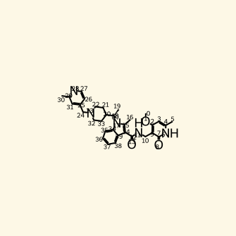 COc1cc(C)[nH]c(=O)c1CNC(=O)c1c(C)n([C@H](C)C2CCN(Cc3ccnc(C)c3)CC2)c2ccccc12